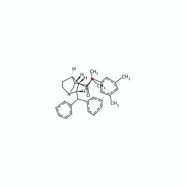 Cc1cc(C)cc(CO[C@H]2[C@@H]3CCN(C[C@H]3C(=O)N(C)C)[C@H]2C(c2ccccc2)c2ccccc2)c1